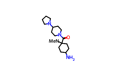 CNC1(C(=O)N2CCC(N3CCCC3)CC2)CCC(N)CC1